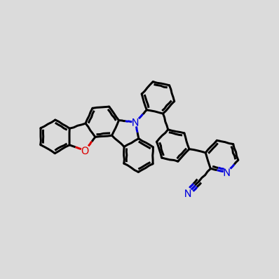 N#Cc1ncccc1-c1cccc(-c2ccccc2-n2c3ccccc3c3c4oc5ccccc5c4ccc32)c1